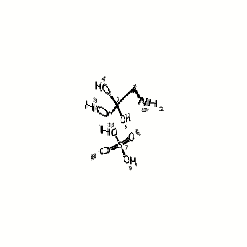 NCC(O)(O)O.O=S(=O)(O)O